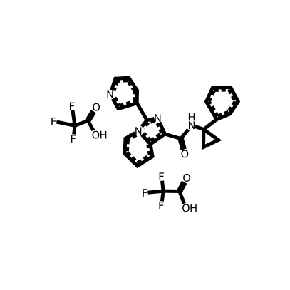 O=C(NC1(c2ccccc2)CC1)c1nc(-c2cccnc2)n2ccccc12.O=C(O)C(F)(F)F.O=C(O)C(F)(F)F